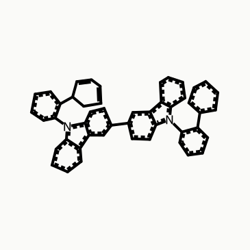 C1=CCC(c2ccccc2-n2c3ccccc3c3cc(-c4ccc5c(c4)c4ccccc4n5-c4ccccc4-c4ccccc4)ccc32)C=C1